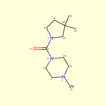 CC(C)N1CCN(C(=O)N2CCC(C)(C)C2)CC1